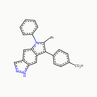 CC(C)c1c(-c2ccc(C(=O)O)cc2)c2cc3[nH]ncc3cc2n1-c1ccccc1